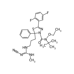 CCON(C(=O)N1N=C(c2cc(F)ccc2F)SC1(CCCN/C(=N\C#N)NC)c1ccccc1)C(C)(C)C